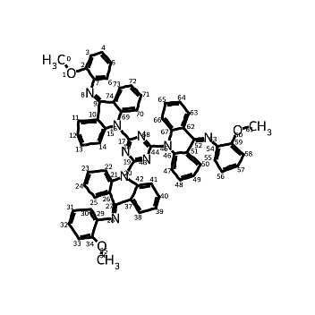 COc1ccccc1N=c1c2ccccc2n(-c2nc(-n3c4ccccc4c(=Nc4ccccc4OC)c4ccccc43)nc(-n3c4ccccc4c(=Nc4ccccc4OC)c4ccccc43)n2)c2ccccc12